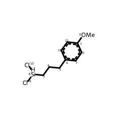 COc1ccc(CCC[SiH](Cl)Cl)cc1